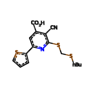 CCCCSCSc1nc(-c2cccs2)cc(C(=O)O)c1C#N